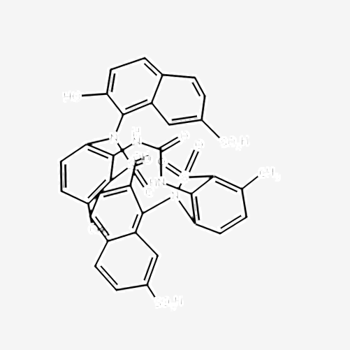 Cc1ccc2c(NC(=O)Nc3c4ccc(C)c3S(=O)(=O)N4c3c(O)ccc4ccc(S(=O)(=O)O)cc34)c1S(=O)(=O)N2c1c(O)ccc2ccc(S(=O)(=O)O)cc12